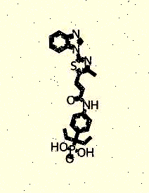 CCC(CC)(c1ccc(NC(=O)/C=C/c2sc(-n3cnc4ccccc43)nc2C)cc1)P(=O)(O)O